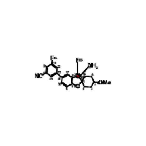 COC1CCC2(CC1)Oc1ccc(-c3cc(F)cc(C#N)c3)cc1C21C=C(F)C(N)=N1